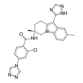 Cc1ccc2c(c1)c(-c1ncn[nH]1)c1n2C[C@](C)(NC(=O)c2ccc(-n3cnnc3)cc2Cl)CC1